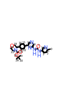 Cc1ccc(NC(=O)Nc2cncc(-c3ccc(C4COCCN4C(=O)OC(C)(C)C)cc3)n2)cn1